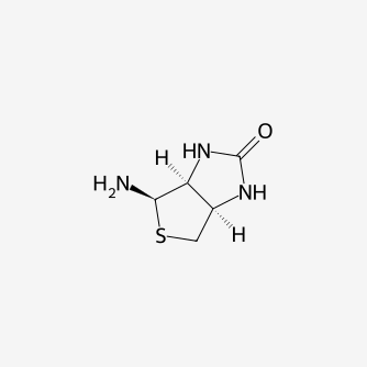 N[C@@H]1SC[C@@H]2NC(=O)N[C@@H]21